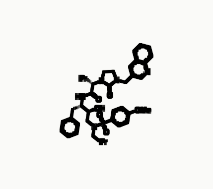 COc1ccc(S(=O)(=O)N(CC(C)C)C[C@H](O)[C@H](Cc2ccccc2)NC(=O)[C@H](C(C)C)N2CCN(Cc3cnc4ccccc4c3)C2=O)cc1